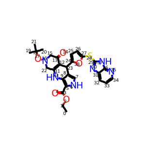 CCOC(=O)c1[nH]cc2c1NC1=C(C(=O)CN(OC(C)(C)C)C1)C2c1ccc(Sc2nc3cccnc3[nH]2)o1